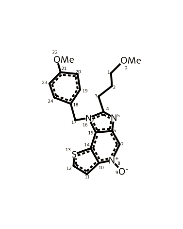 COCCCc1nc2c[n+]([O-])c3ccsc3c2n1Cc1ccc(OC)cc1